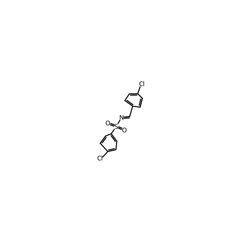 O=S(=O)(N=Cc1ccc(Cl)cc1)c1ccc(Cl)cc1